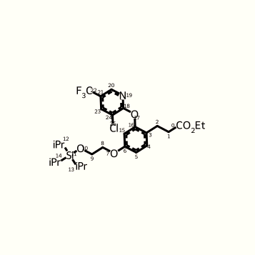 CCOC(=O)CCc1ccc(OCCO[Si](C(C)C)(C(C)C)C(C)C)cc1Oc1ncc(C(F)(F)F)cc1Cl